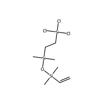 C=C[Si](C)(C)O[Si](C)(C)CC[Si](Cl)(Cl)Cl